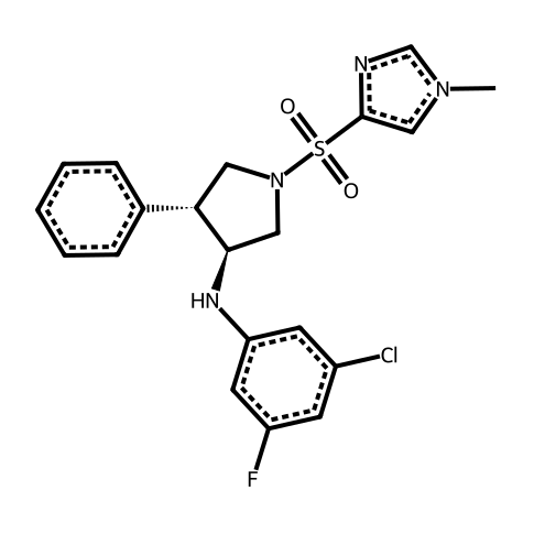 Cn1cnc(S(=O)(=O)N2C[C@@H](Nc3cc(F)cc(Cl)c3)[C@H](c3ccccc3)C2)c1